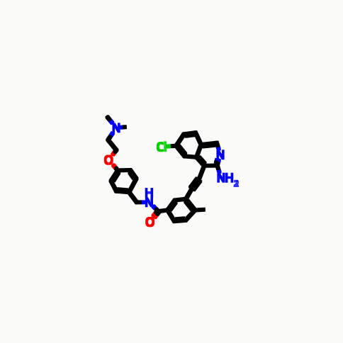 Cc1ccc(C(=O)NCc2ccc(OCCN(C)C)cc2)cc1C#Cc1c(N)ncc2ccc(Cl)cc12